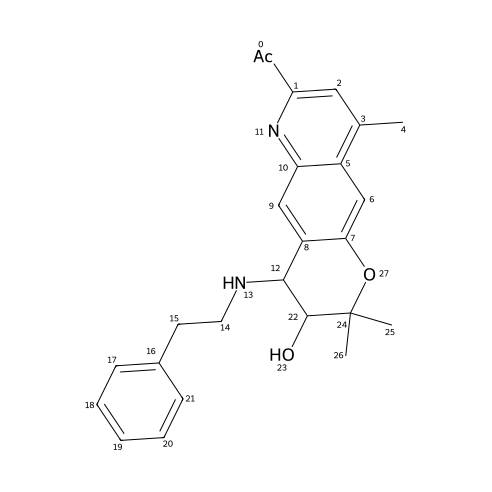 CC(=O)c1cc(C)c2cc3c(cc2n1)C(NCCc1ccccc1)C(O)C(C)(C)O3